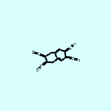 O=C=C1Cc2cc(=C=O)c(=C=O)cc2CC1=C=O